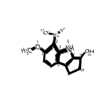 COc1ccc2c3c([nH]c2c1[N+](=O)[O-])C(O)CC3